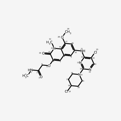 CNC(=O)COc1cc2cc(Nc3nc(N4CCC(Cl)CC4)ncc3Cl)cc(OC)c2n(C)c1=O